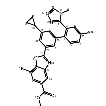 COC(=O)c1cc(F)c2oc(-c3cc(-c4ccc(F)cc4-c4nncn4C)cc(C4CC4)c3)nc2c1